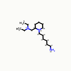 CCN(CC)CC1CCCCN1CCCCCCN